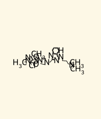 Cc1nn(C)c(Cl)c1S(=O)(=O)N1CCN(Cc2nc(NCCCN(C)C)c3ccccc3n2)CC1